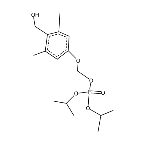 Cc1cc(OCOP(=O)(OC(C)C)OC(C)C)cc(C)c1CO